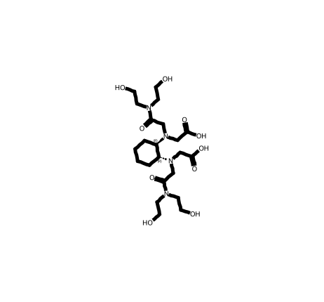 O=C(O)CN(CC(=O)N(CCO)CCO)[C@@H]1CCCC[C@H]1N(CC(=O)O)CC(=O)N(CCO)CCO